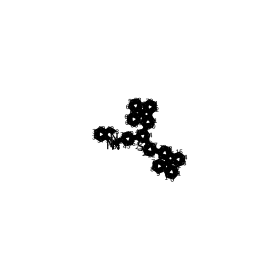 c1ccc(C2(c3ccccc3)c3ccccc3-c3ccc(-c4ccc5sc6c(-c7ccc(-c8nnc9c%10ccccc%10ccn89)cc7)cc(-c7ccc8c(c7)C(c7ccccc7)(c7ccccc7)c7ccccc7-8)cc6c5c4)cc32)cc1